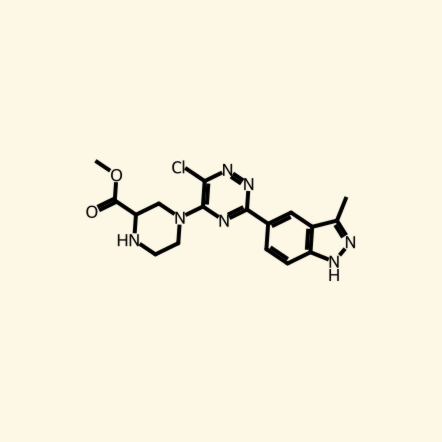 COC(=O)C1CN(c2nc(-c3ccc4[nH]nc(C)c4c3)nnc2Cl)CCN1